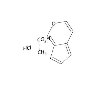 CC(=O)O.Cl.c1cc2ccocc-2c1